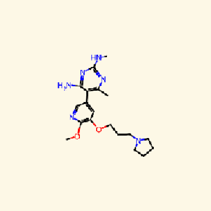 CNc1nc(C)c(-c2cnc(OC)c(OCCCN3CCCC3)c2)c(N)n1